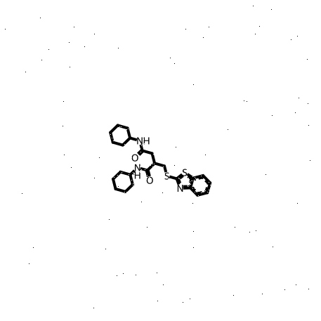 O=C(CC(CSc1nc2ccccc2s1)C(=O)NC1CCCCC1)NC1CCCCC1